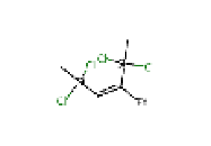 CC/C(=C/[Si](C)(Cl)Cl)[Si](C)(Cl)Cl